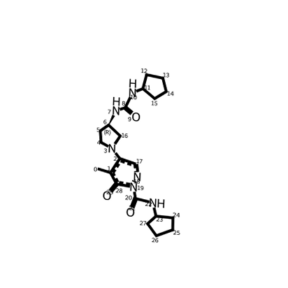 Cc1c(N2CC[C@@H](NC(=O)NC3CCCC3)C2)cnn(C(=O)NC2CCCC2)c1=O